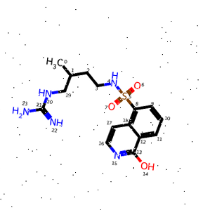 CC(CCNS(=O)(=O)c1cccc2c(O)nccc12)CNC(=N)N